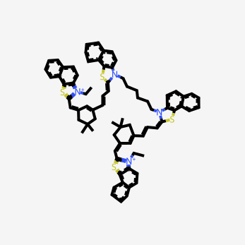 CC[n+]1c(C=C2C=C(C=CC=C3Sc4c(ccc5ccccc45)N3CCCCCCN3C(=CC=CC4=CC(=Cc5sc6c7ccccc7ccc6[n+]5CC)CC(C)(C)C4)Sc4c3ccc3ccccc43)CC(C)(C)C2)sc2c3ccccc3ccc21